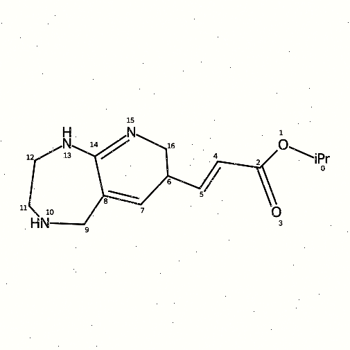 CC(C)OC(=O)/C=C/C1C=C2CNCCNC2=NC1